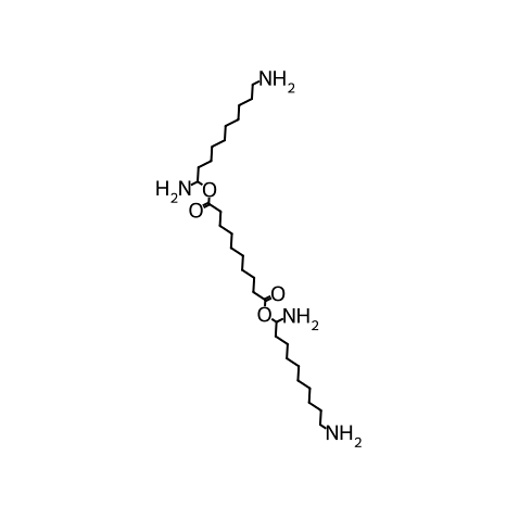 NCCCCCCCCCC(N)OC(=O)CCCCCCCCC(=O)OC(N)CCCCCCCCCN